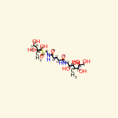 CC(/C(O)=C(\O)CO)/C(O)=C(\O)CNC(=O)C/C=C/C(=O)NC[S+]([O-])[C@@H](O)C(C)(O)CCO